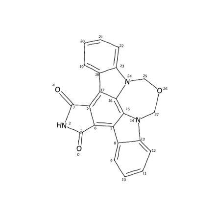 O=C1NC(=O)c2c1c1c3ccccc3n3c1c1c2c2ccccc2n1COC3